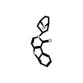 CN1C2CCC1CC(n1ccc3sc4ccccc4c3c1=O)C2